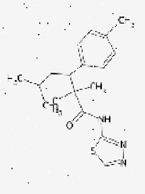 Cc1ccc(C(CC(C)C)C(C)(C)C(=O)Nc2nncs2)cc1